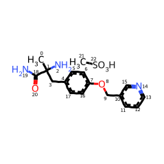 CC(N)(Cc1ccc(OCc2cccnc2)cc1)C(N)=O.CS(=O)(=O)O